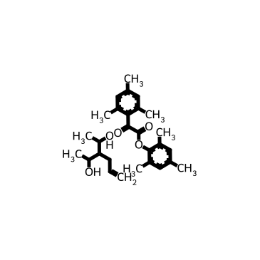 C=CCC(C(C)O)C(C)O.Cc1cc(C)c(OC(=O)C(=O)c2c(C)cc(C)cc2C)c(C)c1